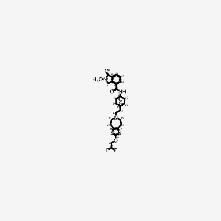 CN1Cc2c(C(=O)NC34CCC(CCN5CCc6nc(OCC(F)F)sc6CC5)(CC3)CC4)cccc2C1=O